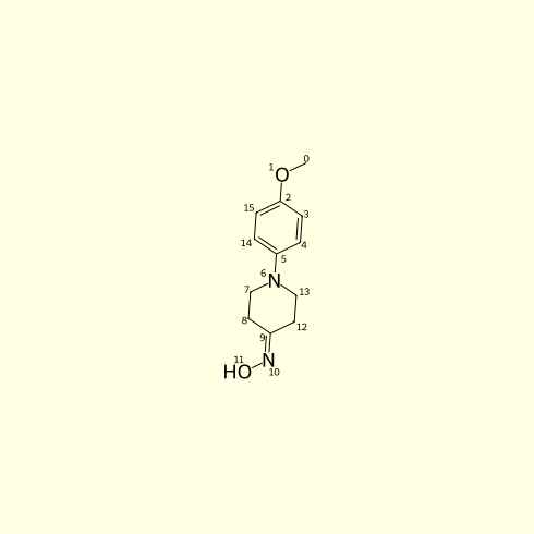 COc1ccc(N2CCC(=NO)CC2)cc1